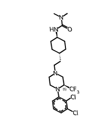 CN(C)C(=O)N[C@H]1CC[C@H](CCN2CCN(c3cccc(Cl)c3Cl)[C@H](C(F)(F)F)C2)CC1